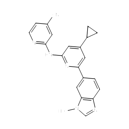 Cn1cnc2ccc(-c3cc(C4CC4)cc(Nc4cc(C#N)ccn4)n3)cc21